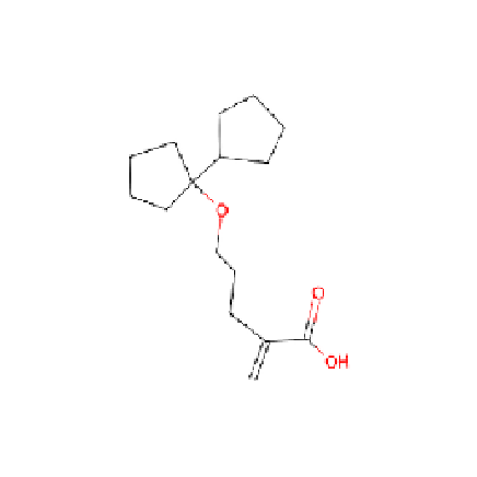 C=C(CCCOC1(C2CCCC2)CCCC1)C(=O)O